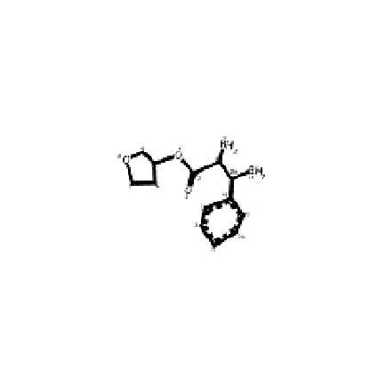 BC(C(=O)OC1CCOC1)C(B)c1ccccc1